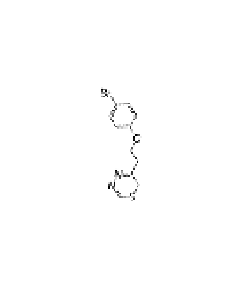 Brc1ccc(OCCC2=NN=CSC2)cc1